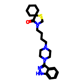 O=C1N(CCCCN2CCN(c3n[nH]c4ccccc34)CC2)CSC12CCCCC2